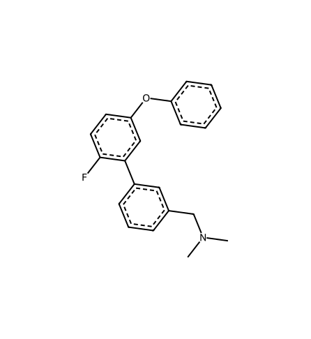 CN(C)Cc1cccc(-c2cc(Oc3ccccc3)ccc2F)c1